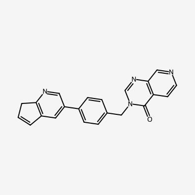 O=c1c2ccncc2ncn1Cc1ccc(-c2cnc3c(c2)C=CC3)cc1